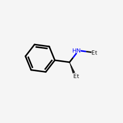 CCN[C@@H](CC)c1ccccc1